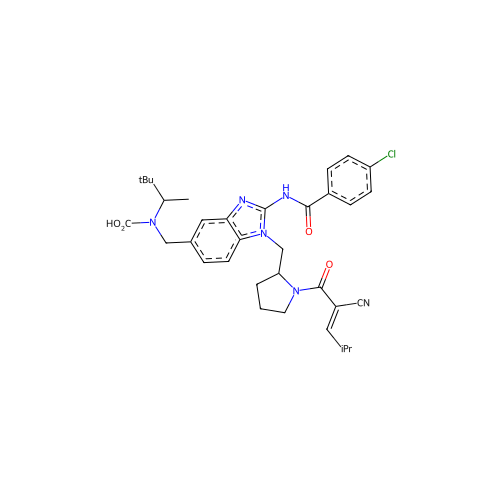 CC(C)C=C(C#N)C(=O)N1CCCC1Cn1c(NC(=O)c2ccc(Cl)cc2)nc2cc(CN(C(=O)O)C(C)C(C)(C)C)ccc21